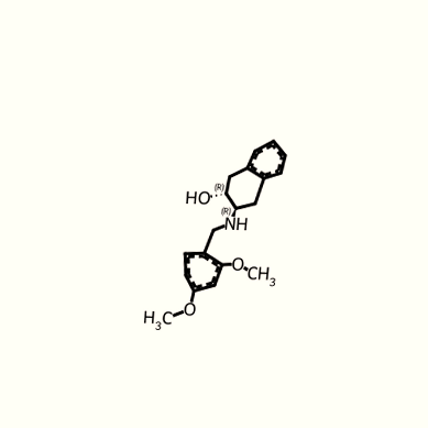 COc1ccc(CN[C@@H]2Cc3ccccc3C[C@H]2O)c(OC)c1